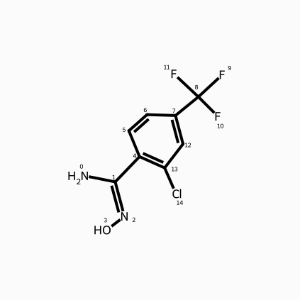 N/C(=N\O)c1ccc(C(F)(F)F)cc1Cl